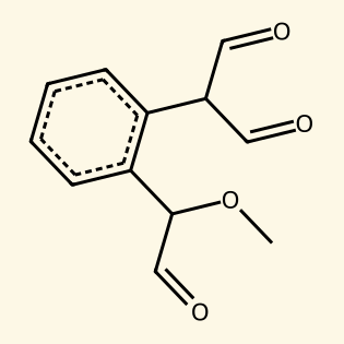 COC(C=O)c1ccccc1C(C=O)C=O